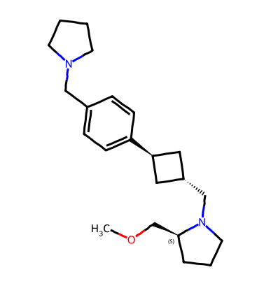 COC[C@@H]1CCCN1C[C@H]1C[C@H](c2ccc(CN3CCCC3)cc2)C1